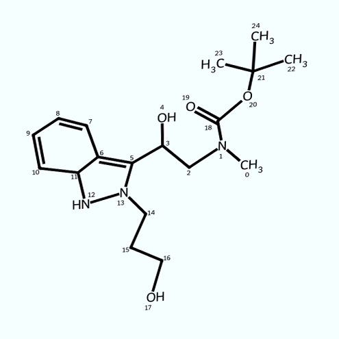 CN(CC(O)C1=C2C=CC=CC2NN1CCCO)C(=O)OC(C)(C)C